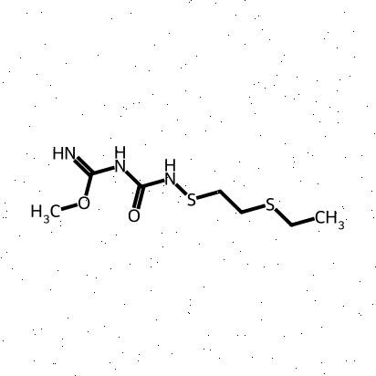 CCSCCSNC(=O)NC(=N)OC